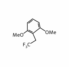 COc1cccc(OC)c1CC(F)(F)F